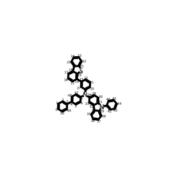 c1ccc(-c2ccc(N(c3cccc(-c4cccc5c4sc4ccccc45)c3)c3ccc4c(c3)c3ccccc3n4-c3ccccc3)cc2)cc1